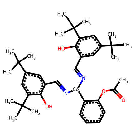 CC(=O)Oc1cccc[c]1[Co]([N]=Cc1cc(C(C)(C)C)cc(C(C)(C)C)c1O)[N]=Cc1cc(C(C)(C)C)cc(C(C)(C)C)c1O